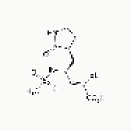 CCC(=C[C@H](C[C@@H]1CCNC1=O)NS(C)(=O)=O)C(=O)O